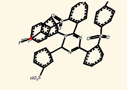 O=S(=O)(O)c1cccc(C2N=C(c3ccccc3S(=O)(=O)c3ccc(F)cc3)N=C(c3ccccc3S(=O)(=O)c3ccc(F)cc3)N2c2cccc(S(=O)(=O)O)c2)c1